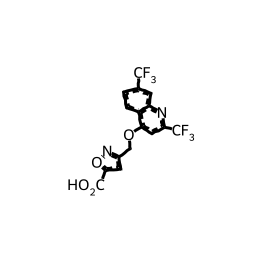 O=C(O)c1cc(COc2cc(C(F)(F)F)nc3cc(C(F)(F)F)ccc23)no1